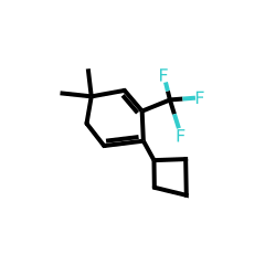 CC1(C)C=C(C(F)(F)F)C(C2CCC2)=CC1